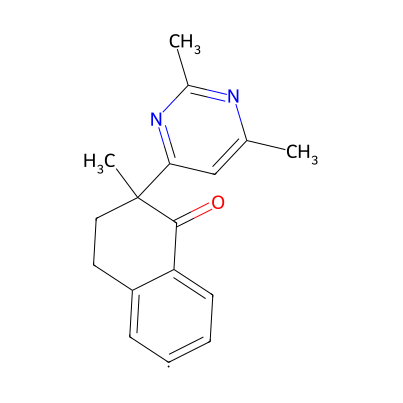 Cc1cc(C2(C)CCc3c[c]ccc3C2=O)nc(C)n1